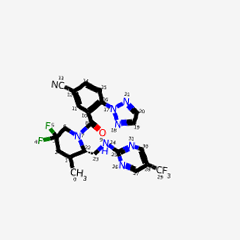 CC1CC(F)(F)CN(C(=O)c2cc(C#N)ccc2-n2nccn2)[C@@H]1CNc1ncc(C(F)(F)F)cn1